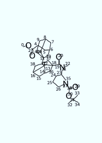 COC(=O)C12CC3CC(C1)CC(C14CC5CC(CC(C(=O)N(C)C6CCCN(C(=O)OC(C)(C)C)C6)(C5)C1)C4)(C3)C2